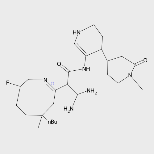 CCCCC1(C)CCC(F)C/N=C(/C(C(=O)NC2=CNCCC2C2CCN(C)C(=O)C2)C(N)N)C1